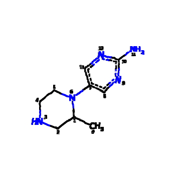 CC1CNCCN1c1cnc(N)nc1